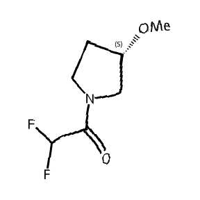 CO[C@H]1CCN(C(=O)C(F)F)C1